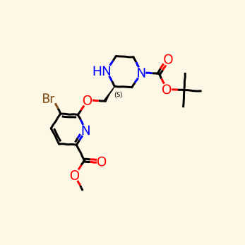 COC(=O)c1ccc(Br)c(OC[C@@H]2CN(C(=O)OC(C)(C)C)CCN2)n1